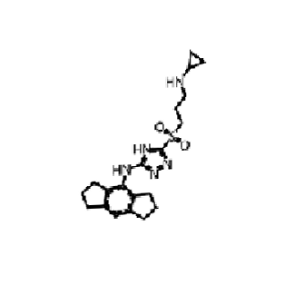 O=S(=O)(CCCNC1CC1)c1nnc(Nc2c3c(cc4c2CCC4)CCC3)[nH]1